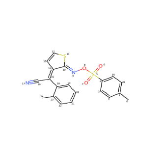 Cc1ccc(S(=O)(=O)O/N=C2\SC=C\C2=C(/C#N)c2ccccc2C)cc1